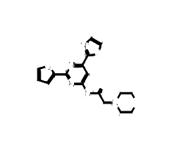 O=C(CN1CCSCC1)Nc1cc(-c2nccs2)nc(-c2cccs2)n1